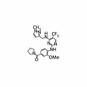 COc1cc(C(=O)N2CCCC2)ccc1Nc1ncc(C(F)(F)F)c(NCc2ccn(C)n2)n1